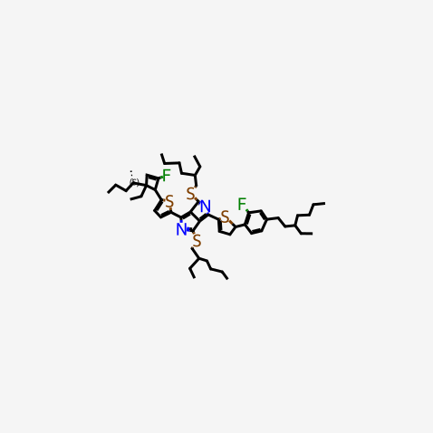 CCCCC(CC)CCc1ccc(C2CC=C(C3=C4C(SCC(CC)CCCC)=NC(c5ccc(C6C(F)=CC6(CC)[C@@H](C)CCC)s5)=C4C(SCC(CC)CCCC)=N3)S2)c(F)c1